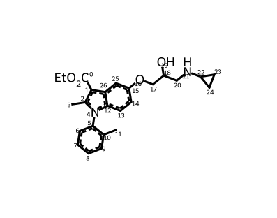 CCOC(=O)c1c(C)n(-c2ccccc2C)c2ccc(OCC(O)CNC3CC3)cc12